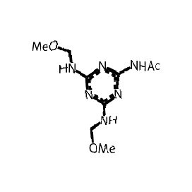 COCNc1nc(NCOC)nc(NC(C)=O)n1